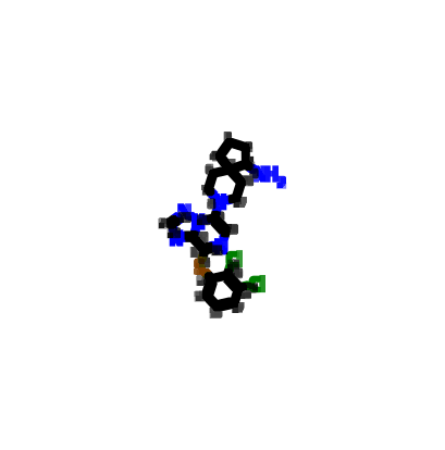 NC1CCCC12CCN(c1cnc(Sc3cccc(Cl)c3Cl)c3ncnn13)CC2